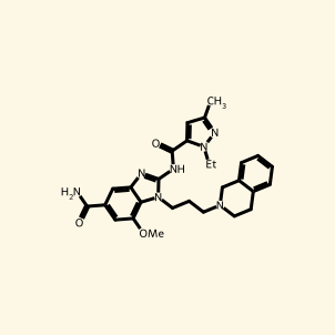 CCn1nc(C)cc1C(=O)Nc1nc2cc(C(N)=O)cc(OC)c2n1CCCN1CCc2ccccc2C1